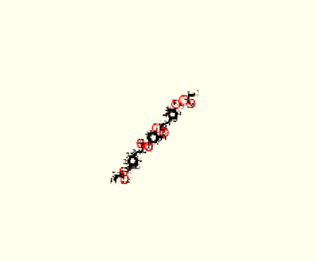 C=CC(=O)OCOc1ccc(CCC(=O)Oc2ccc(OC(=O)CCc3ccc(COC(=O)C=C)cc3)cc2C)cc1